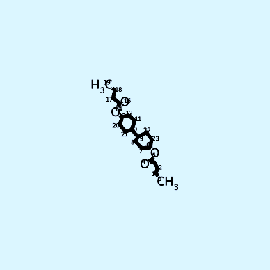 CCCC(=O)OC1CCC(C2CCC(OC(=O)CCC)CC2)CC1